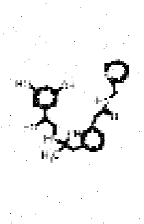 CC(C)(Cc1cccc(CC(=O)NCc2ccccn2)c1)NCC(O)c1cc(O)cc(O)c1